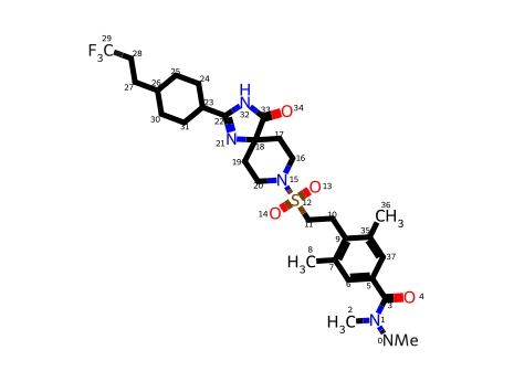 CNN(C)C(=O)c1cc(C)c(CCS(=O)(=O)N2CCC3(CC2)N=C(C2CCC(CCC(F)(F)F)CC2)NC3=O)c(C)c1